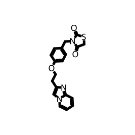 O=C1CSC(=O)N1Cc1ccc(OCCc2cn3ccccc3n2)cc1